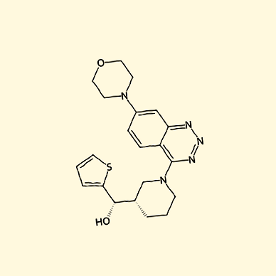 O[C@H](c1cccs1)[C@H]1CCCN(c2nnnc3cc(N4CCOCC4)ccc23)C1